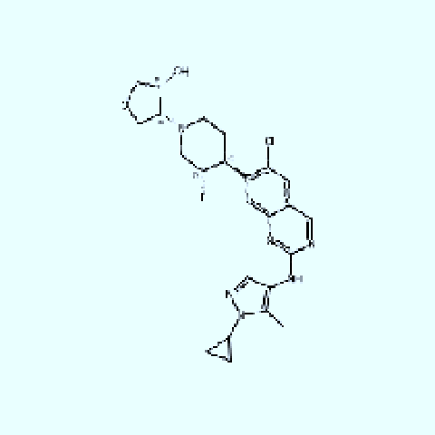 Cc1c(Nc2ncc3cc(Cl)c([C@@H]4CCN([C@@H]5COC[C@@H]5O)C[C@H]4F)cc3n2)cnn1C1CC1